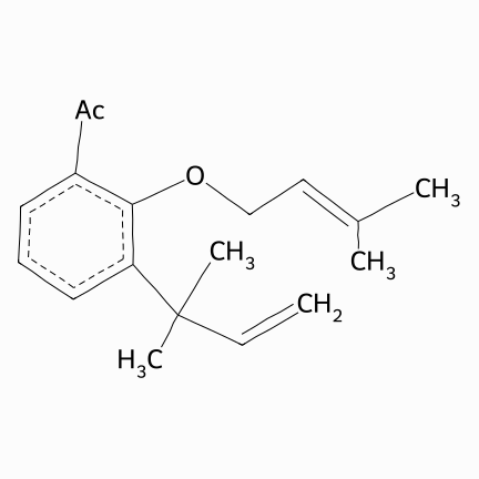 C=CC(C)(C)c1cccc(C(C)=O)c1OCC=C(C)C